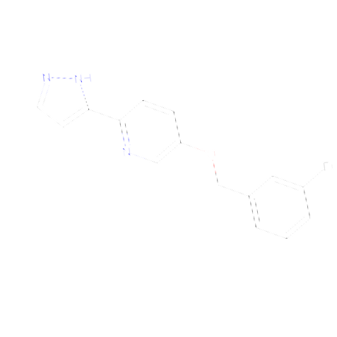 CCc1cccc(COc2ccc(-c3ccn[nH]3)nc2)c1